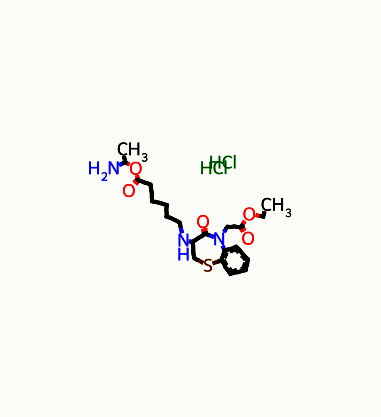 CCOC(=O)CN1C(=O)C(NCCCCCC(=O)OC(C)N)CSc2ccccc21.Cl.Cl